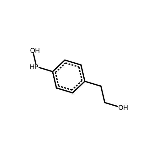 OCCc1ccc(PO)cc1